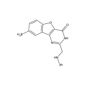 Bc1ccc2oc3c(=O)[nH]c(CNC(C)C)nc3c2c1